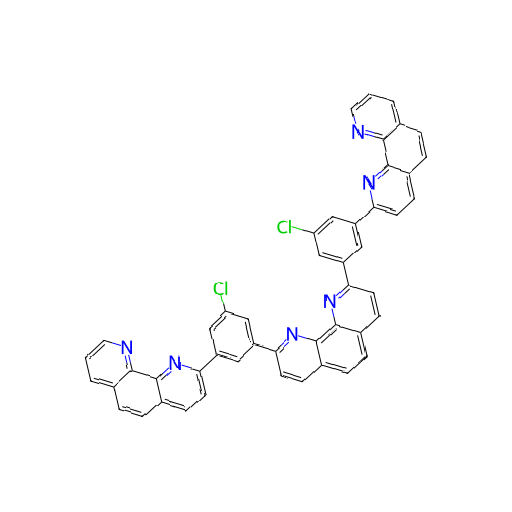 Clc1cc(-c2ccc3ccc4cccnc4c3n2)cc(-c2ccc3ccc4ccc(-c5cc(Cl)cc(-c6ccc7ccc8cccnc8c7n6)c5)nc4c3n2)c1